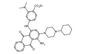 CCOC(=O)c1ccc(Nc2cc(N3CCN(C4CCCCC4)CC3)c(N)c3c2C(=O)c2ccccc2C3=O)cc1N(C)C